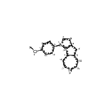 COc1ccc(-n2ccc3cc4ccnccc-4c32)cc1